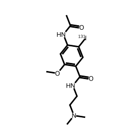 COc1cc(NC(C)=O)c([131I])cc1C(=O)NCCN(C)C